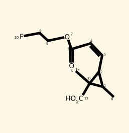 CC1C(/C=C\C(=O)OCCF)C1(C)C(=O)O